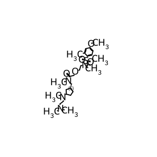 COc1cc(C)c(S(=O)(=O)N(C)CCOCC(=O)N(C)C[C@H]2CCC(N(C)CCN(C)C)C2)c(C)c1